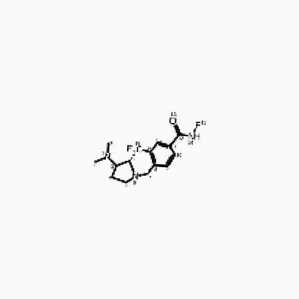 CN(C)C1CCN(Cc2ccc(C(=O)NF)cc2C(F)(F)F)C1